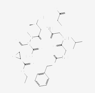 CCOC(=O)[C@H]1O[C@@H]1C(=O)N(C(=O)O)N(C)C(=O)[C@@H](NC(=O)[C@H](CCC(=O)O)NC(=O)[C@H](CC(C)C)NC(=O)OCc1ccccc1)[C@@H](C)O